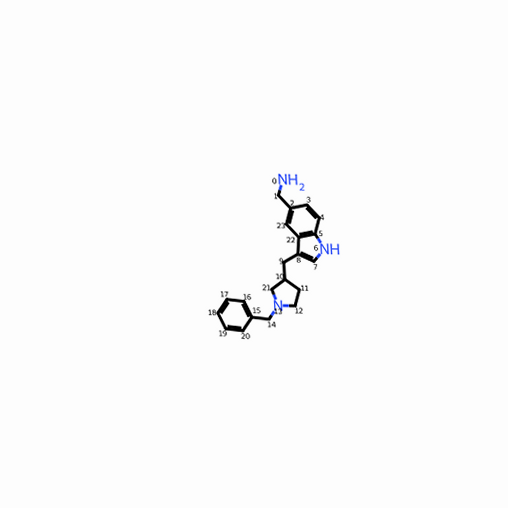 NCc1ccc2[nH]cc(CC3CCN(Cc4ccccc4)C3)c2c1